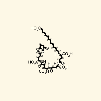 O=C(O)CCCCCCCCCCCCCN[C@@H](CCC(=O)N[C@@H](CCC(=O)N[C@@H](CCC(=O)N[C@@H](CCC(=O)ON1C(=O)CCC1=O)C(=O)O)C(=O)O)C(=O)O)C(=O)O